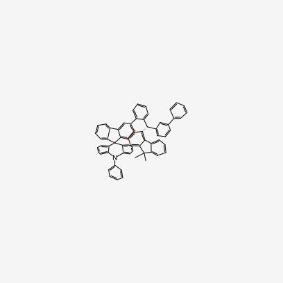 CC1(C)c2ccccc2-c2c([C@@H](c3cccc(-c4ccccc4)c3)c3ccccc3-c3ccc4c(c3)-c3ccccc3C43c4ccccc4N(c4ccccc4)c4ccccc43)cccc21